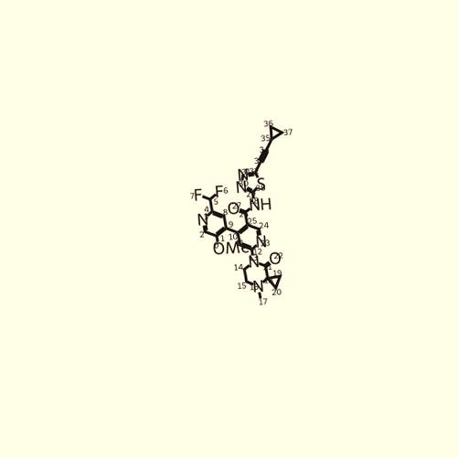 COc1cnc(C(F)F)cc1-c1cc(N2CCN(C)C3(CC3)C2=O)ncc1C(=O)Nc1nnc(C#CC2CC2)s1